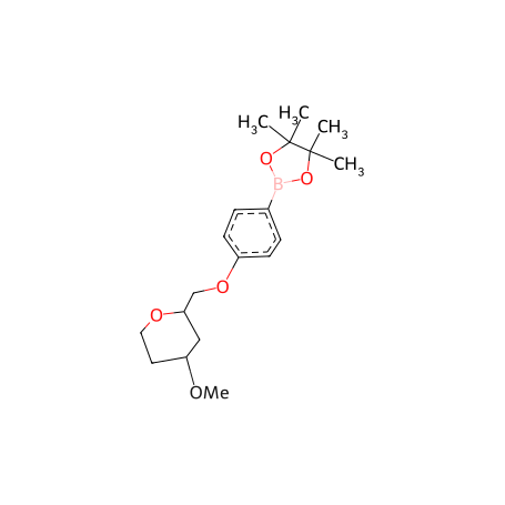 COC1CCOC(COc2ccc(B3OC(C)(C)C(C)(C)O3)cc2)C1